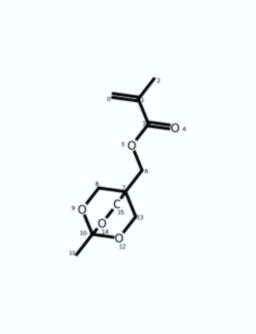 C=C(C)C(=O)OCC12COC(C)(OC1)OC2